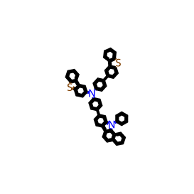 c1ccc(-n2c3cc(-c4ccc(N(c5ccc(-c6ccc7sc8ccccc8c7c6)cc5)c5ccc6sc7ccccc7c6c5)cc4)ccc3c3ccc4ccccc4c32)cc1